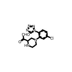 O=CC(=O)C1CN(c2cc(Cl)ccc2-n2cnnn2)CCN1